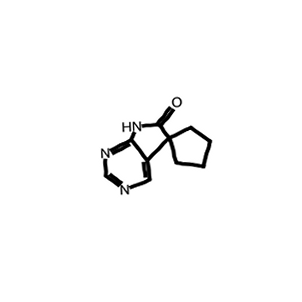 O=C1Nc2ncncc2C12CCCC2